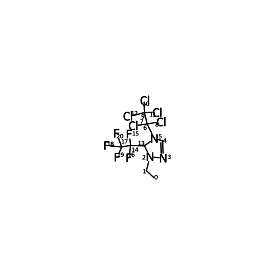 CCN1N=CN(C(Cl)(Cl)C(Cl)(Cl)Cl)C1C(F)(F)C(F)(F)F